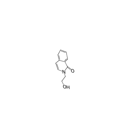 O=c1c2ccccc2ccn1CCO